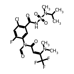 CC(C)N(C)S(=O)(=O)NC(=O)c1cc(N(C=O)C(=O)/C=C(\N(C)C)C(F)(F)F)c(F)cc1Cl